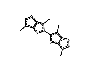 Cc1csc2c(C)c(-c3sc4c(C)csc4c3C)sc12